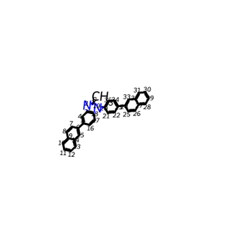 Cc1nc2cc(-c3ccc4ccccc4c3)ccc2n1-c1ccc(-c2ccc3ccccc3c2)cc1